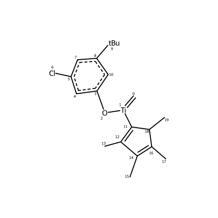 [CH2]=[Ti]([O]c1cc(Cl)cc(C(C)(C)C)c1)[C]1=C(C)C(C)=C(C)C1C